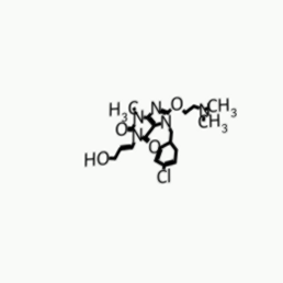 CN(C)CCOc1nc2c(c(=O)n(/C=C/CO)c(=O)n2C)n1CC1C=CC(Cl)=CC1